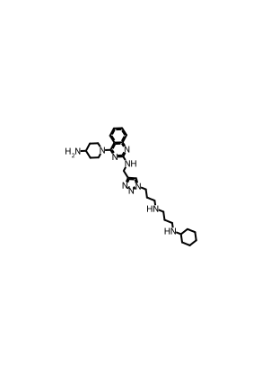 NC1CCN(c2nc(NCc3cn(CCCNCCCNC4CCCCC4)nn3)nc3ccccc23)CC1